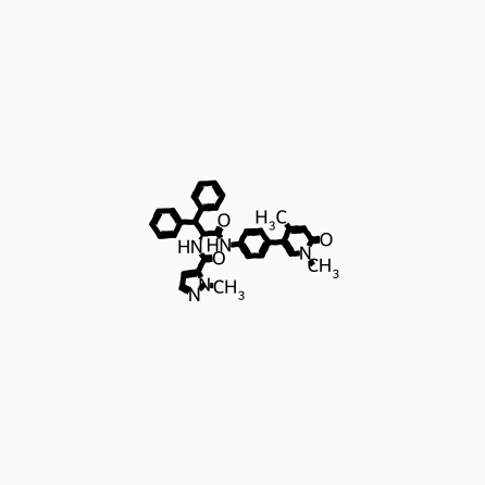 Cc1cc(=O)n(C)cc1-c1ccc(NC(=O)[C@@H](NC(=O)c2ccnn2C)C(c2ccccc2)c2ccccc2)cc1